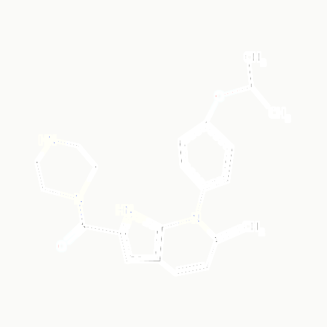 C=C1C=Cc2cc(C(=O)N3CCNCC3)[nH]c2N1c1ccc(OC(C)C)cc1